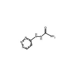 NC(=O)NNc1ccnnn1